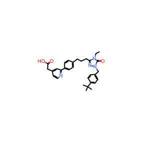 CCn1c(CCCc2ccc(-c3cc(CC(=O)O)ccn3)cc2)nn(Cc2ccc(C(C)(C)C)cc2)c1=O